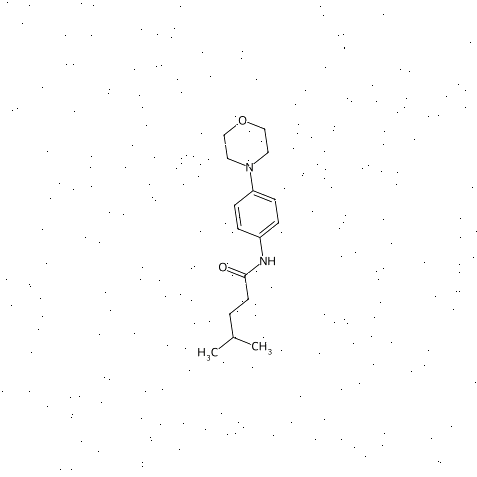 CC(C)CCC(=O)Nc1ccc(N2CCOCC2)cc1